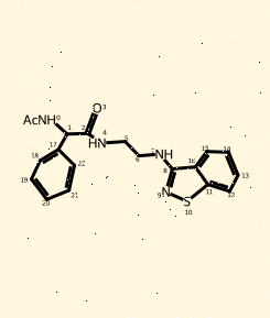 CC(=O)NC(C(=O)NCCNc1nsc2ccccc12)c1ccccc1